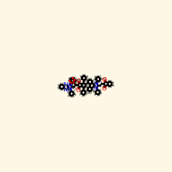 O=C1C(=C/C=C2/N(c3ccccc3)c3c(c4cccc(-c5cc(-c6ccccc6)c6c(c5-c5ccccc5)C(=O)/C(=C(/C=C5N(c7ccccc7)c7nc8ccccc8nc7N5c5ccccc5)c5ccccc5)C6=O)c4c4ccccc34)N2c2ccccc2)C(=O)c2ccccc21